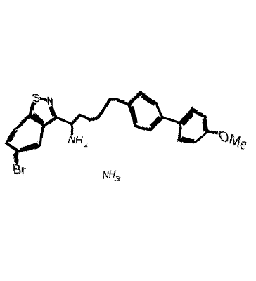 COc1ccc(-c2ccc(CCCC(N)c3nsc4ccc(Br)cc34)cc2)cc1.N